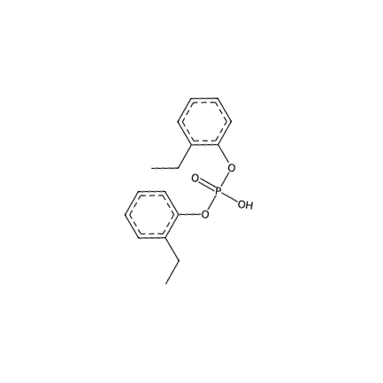 CCc1ccccc1OP(=O)(O)Oc1ccccc1CC